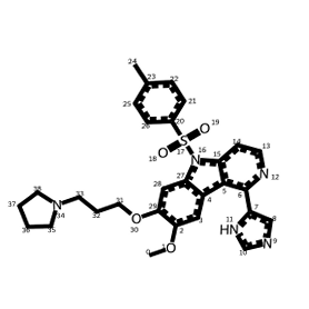 COc1cc2c3c(-c4cnc[nH]4)nccc3n(S(=O)(=O)c3ccc(C)cc3)c2cc1OCCCN1CCCC1